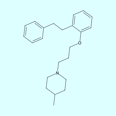 CC1CCN(CCCOc2ccccc2CCc2ccccc2)CC1